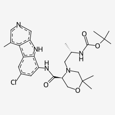 Cc1cncc2[nH]c3c(NC(=O)[C@@H]4COC(C)(C)CN4C[C@H](C)NC(=O)OC(C)(C)C)cc(Cl)cc3c12